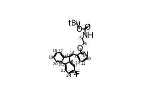 CC(C)(C)OC(=O)NCCOc1ncccc1C=C1c2ccccc2-c2ccc(F)cc21